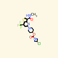 CNC(=O)c1csc2c(C(F)(F)F)cc(N3CCC(OC(=O)N4CC(Cl)C4)CC3)nc12